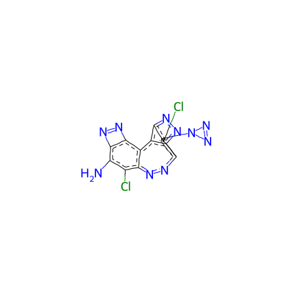 Nc1c2c(c3c(nnc4c(N5N=N5)c(Cl)c5nnc4c53)c1Cl)N=N2